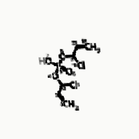 C=CC(Cl)OP(=O)(O)OC(Cl)C=C